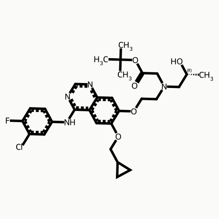 C[C@@H](O)CN(CCOc1cc2ncnc(Nc3ccc(F)c(Cl)c3)c2cc1OCC1CC1)CC(=O)OC(C)(C)C